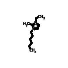 CCCCCC[n+]1ccn(CC)c1C